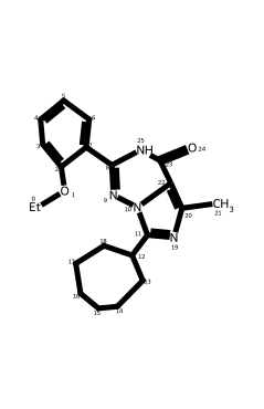 CCOc1ccccc1-c1nn2c(C3CCCCCC3)nc(C)c2c(=O)[nH]1